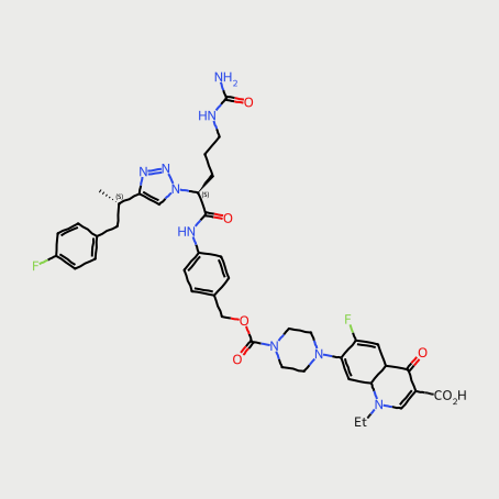 CCN1C=C(C(=O)O)C(=O)C2C=C(F)C(N3CCN(C(=O)OCc4ccc(NC(=O)[C@H](CCCNC(N)=O)n5cc([C@@H](C)Cc6ccc(F)cc6)nn5)cc4)CC3)=CC21